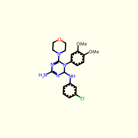 COc1ccc(N2C(N3CCOCC3)=NC(N)=NC2Nc2cccc(Cl)c2)cc1OC